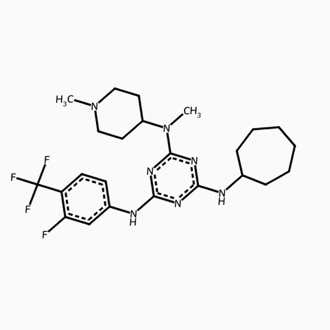 CN1CCC(N(C)c2nc(Nc3ccc(C(F)(F)F)c(F)c3)nc(NC3CCCCCC3)n2)CC1